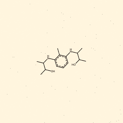 Cc1c(NC(C)C(C)O)cccc1NC(C)C(C)O